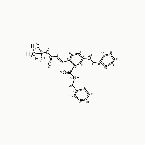 CC(C)(C)OC(=O)C=Cc1ccc(OCc2ccccc2)cc1C(=O)NCc1ccccc1